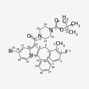 Cc1c(F)cccc1Cc1c(C(=O)N2CCN(C(=O)OC(C)(C)C)CC2)c2cc(Br)ccn2c1-c1ccccc1